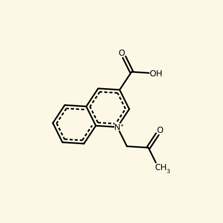 CC(=O)C[n+]1cc(C(=O)O)cc2ccccc21